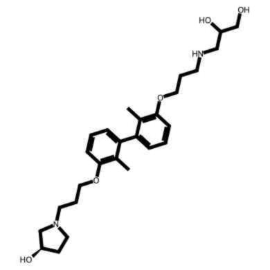 Cc1c(OCCCNCC(O)CO)cccc1-c1cccc(OCCCN2CC[C@@H](O)C2)c1C